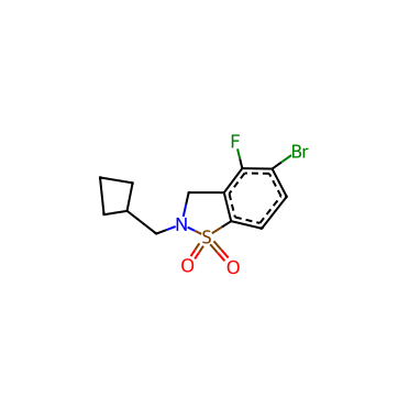 O=S1(=O)c2ccc(Br)c(F)c2CN1CC1CCC1